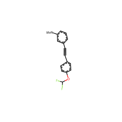 CNc1cccc(C#Cc2ccc(OC(F)F)cc2)c1